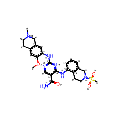 COc1cc2c(cc1Nc1ncc(C(N)=O)c(Nc3cccc4c3CCN(S(C)(=O)=O)C4)n1)CN(C)CC2